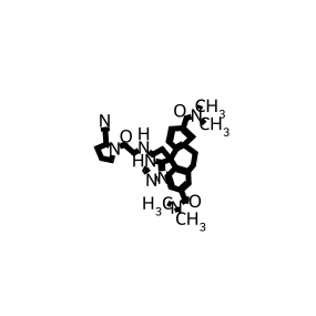 CN(C)C(=O)c1ccc2c(c1)CCc1cc(C(=O)N(C)C)ccc1C2(CCNCC(=O)N1CCCC1C#N)c1nnc[nH]1